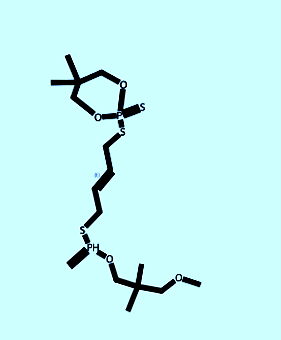 C=[PH](OCC(C)(C)COC)SC/C=C/CSP1(=S)OCC(C)(C)CO1